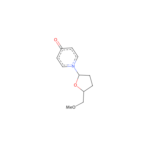 COCC1CCC(n2ccc(=O)cc2)O1